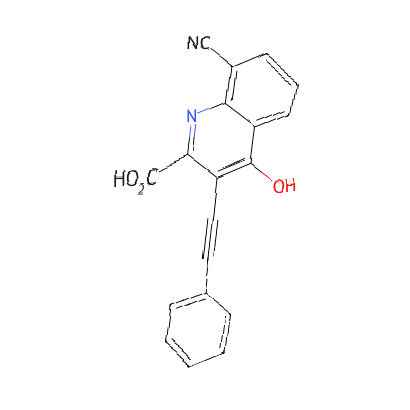 N#Cc1cccc2c(O)c(C#Cc3ccccc3)c(C(=O)O)nc12